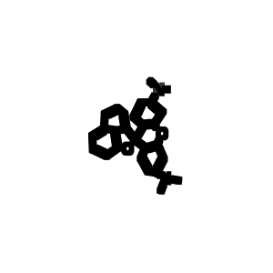 CN(C)c1ccc2c(c1)Oc1cc(N(C)C)ccc1C21Oc2cccc3cccc1c23